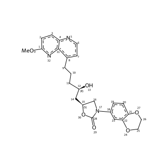 COc1ccc2nccc(CCC[C@@H](O)C[C@H]3CN(c4ccc5c(c4)OCCO5)C(=O)O3)c2n1